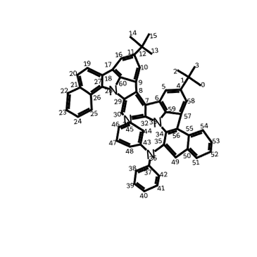 CC(C)(C)c1cc2c3c4c5cc(C(C)(C)C)cc6c7ccc8ccccc8c7n(c4cnc3n3c4c(N(c7ccccc7)c7ccccc7)cc7ccccc7c4c(c1)c23)c65